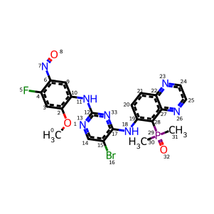 COc1cc(F)c(N=O)cc1Nc1ncc(Br)c(Nc2ccc3nccnc3c2P(C)(C)=O)n1